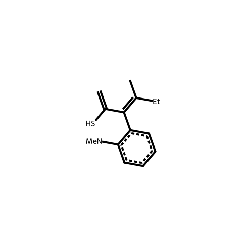 C=C(S)/C(=C(\C)CC)c1ccccc1NC